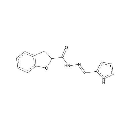 O=C(N/N=C/c1ccc[nH]1)C1Cc2ccccc2O1